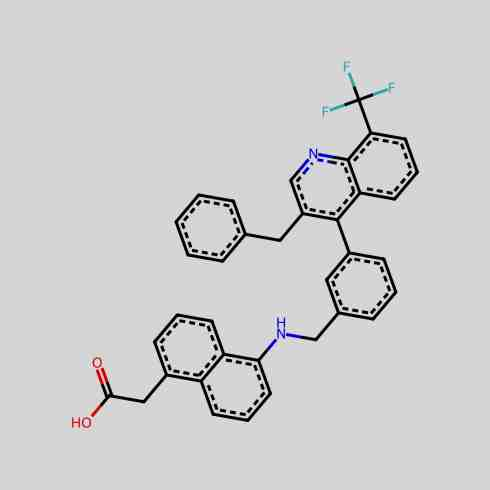 O=C(O)Cc1cccc2c(NCc3cccc(-c4c(Cc5ccccc5)cnc5c(C(F)(F)F)cccc45)c3)cccc12